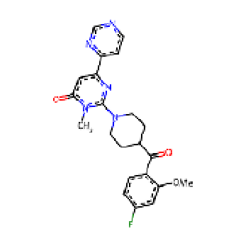 COc1cc(F)ccc1C(=O)C1CCN(c2nc(-c3ccncn3)cc(=O)n2C)CC1